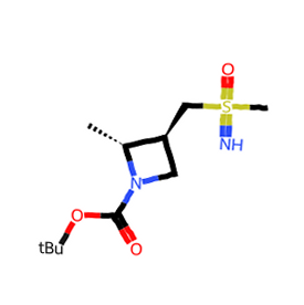 C[C@@H]1[C@@H](CS(C)(=N)=O)CN1C(=O)OC(C)(C)C